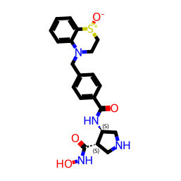 O=C(N[C@@H]1CNC[C@@H]1C(=O)NO)c1ccc(CN2CC[S+]([O-])c3ccccc32)cc1